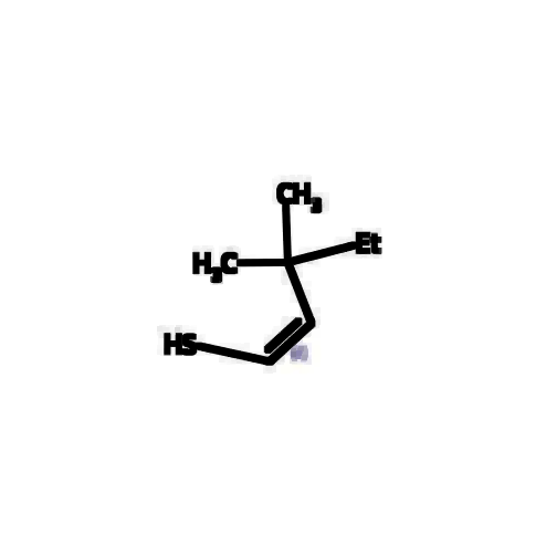 CCC(C)(C)/C=C\S